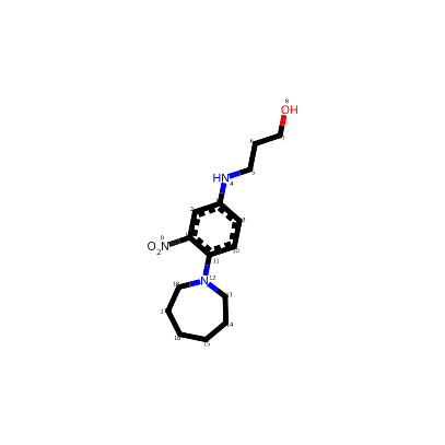 O=[N+]([O-])c1cc(NCCCO)ccc1N1CCCCCC1